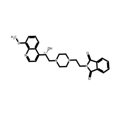 COc1cccc2c([C@H](O)CN3CCN(CCN4C(=O)c5ccccc5C4=O)CC3)ccnc12